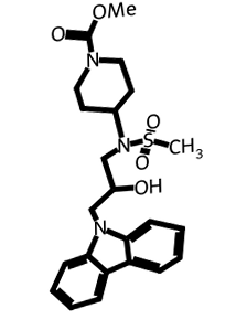 COC(=O)N1CCC(N(CC(O)Cn2c3ccccc3c3ccccc32)S(C)(=O)=O)CC1